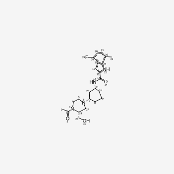 CC(=O)N1CCN([C@H]2CCC[C@@H](NC(=O)c3cc4c(F)ccc(C)c4[nH]3)C2)C[C@@H]1CO